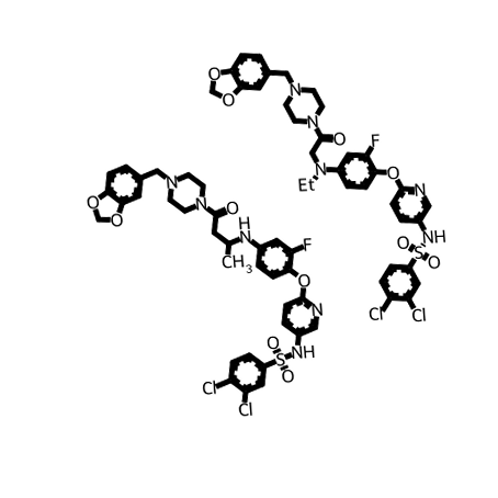 CC(CC(=O)N1CCN(Cc2ccc3c(c2)OCO3)CC1)Nc1ccc(Oc2ccc(NS(=O)(=O)c3ccc(Cl)c(Cl)c3)cn2)c(F)c1.CCN(CC(=O)N1CCN(Cc2ccc3c(c2)OCO3)CC1)c1ccc(Oc2ccc(NS(=O)(=O)c3ccc(Cl)c(Cl)c3)cn2)c(F)c1